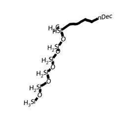 CCCCCCCCCCCCCC[SiH](C)O[SiH2]O[SiH2]O[SiH2]O[SiH2]O[SiH3]